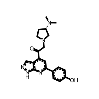 CN(C)[C@H]1CCN(CC(=O)c2cc(-c3ccc(O)cc3)nc3[nH]ncc23)C1